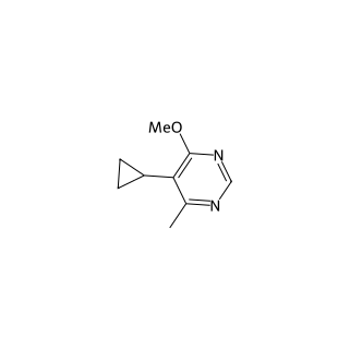 COc1ncnc(C)c1C1CC1